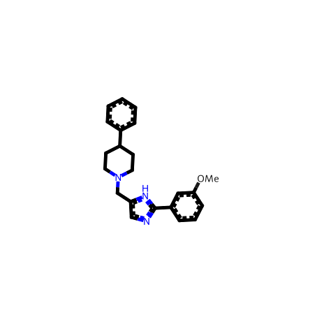 COc1cccc(-c2ncc(CN3CCC(c4ccccc4)CC3)[nH]2)c1